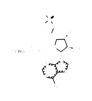 Nc1ncnc2c1ncn2[C@@H]1O[C@H](COP(=O)([O-])[O-])[C@@H](O)[C@H]1O.O.O.O.[Na+].[Na+]